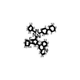 c1ccc(-c2ccc(-c3nc(-c4ccccc4)nc(-c4cc(-c5cc6cccnc6c6ccccc56)cc5c4sc4ccccc45)n3)cc2)cc1